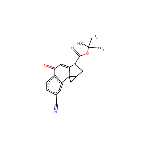 CC(C)(C)OC(=O)N1CC2CC23C1=CC(=O)c1ccc(C#N)cc13